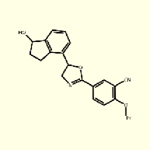 CC(C)Oc1ccc(C2=NCC(c3cccc4c3CCC4O)O2)cc1C#N